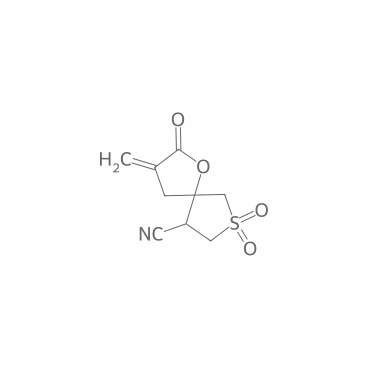 C=C1CC2(CS(=O)(=O)CC2C#N)OC1=O